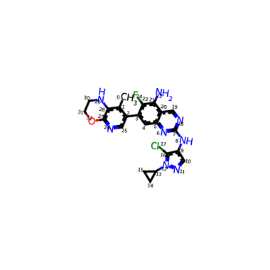 Cc1c(-c2cc3nc(Nc4cnn(C5CC5)c4Cl)ncc3c(N)c2F)cnc2c1NCCO2